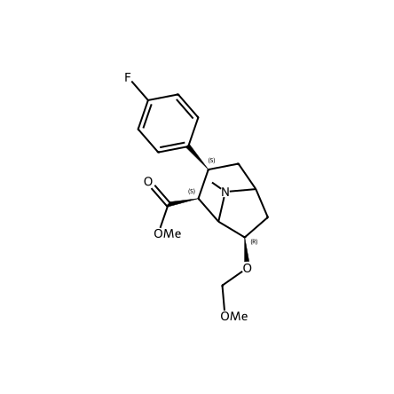 COCO[C@@H]1CC2C[C@H](c3ccc(F)cc3)[C@H](C(=O)OC)C1N2C